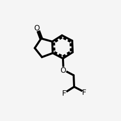 O=C1CCc2c(OCC(F)F)cccc21